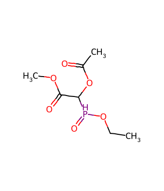 CCO[PH](=O)C(OC(C)=O)C(=O)OC